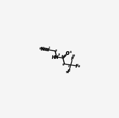 N#CCNC(=O)CC(F)(F)F